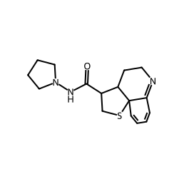 O=C(NN1CCCC1)C1CSC23C=CC=CC2=NCCC13